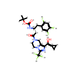 CC(C)(C)OC(=O)N[C@@H](CC(=O)N1CCn2c(C(F)(F)F)nc(C(O)=C3CC3)c2C1)Cc1cc(F)c(F)cc1F